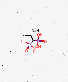 [CH2]CC(P(=O)(O)O)P(=O)(O)O.[NaH]